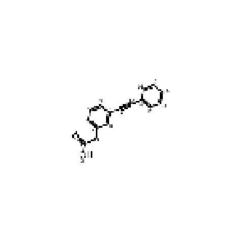 O=C(O)Cc1cccc(C#Cc2ccccc2)c1